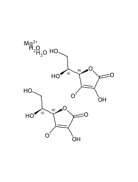 O.O.O=C1O[C@H]([C@@H](O)CO)C([O-])=C1O.O=C1O[C@H]([C@@H](O)CO)C([O-])=C1O.[Mg+2]